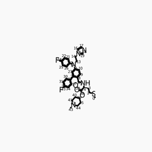 CSCC[C@H](NC(=O)c1ccc(N(CCn2ccnc2)c2ccc(F)cc2)cc1-c1ccc(F)cc1)C(=O)OC1CCN(C)CC1